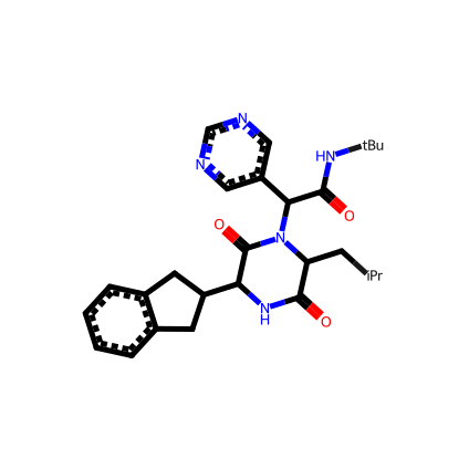 CC(C)CC1C(=O)NC(C2Cc3ccccc3C2)C(=O)N1C(C(=O)NC(C)(C)C)c1cncnc1